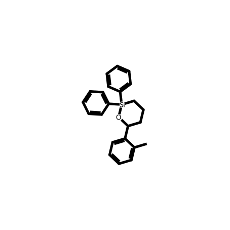 Cc1ccccc1C1CCC[Si](c2ccccc2)(c2ccccc2)O1